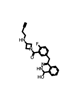 C#CCCNC1CN(C(=O)c2cc(CC3=NNC(O)c4ccccc43)ccc2F)C1